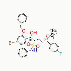 CC(C)(C)[Si](C)(C)O[C@@H](CCC([C@H](O)c1ccc(Br)cc1OCc1ccccc1)S(=O)(=O)Nc1ccccc1)c1ccc(F)cc1